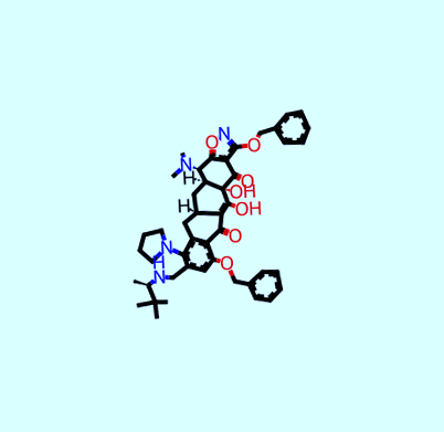 C[C@@H](NCc1cc(OCc2ccccc2)c2c(c1N1CCCC1)C[C@H]1C[C@H]3[C@H](N(C)C)c4onc(OCc5ccccc5)c4C(=O)[C@@]3(O)C(O)=C1C2=O)C(C)(C)C